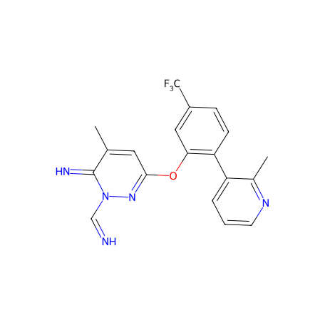 Cc1ncccc1-c1ccc(C(F)(F)F)cc1Oc1cc(C)c(=N)n(C=N)n1